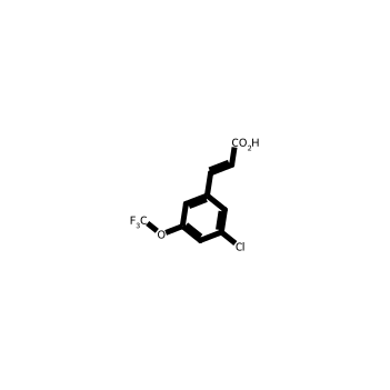 O=C(O)C=Cc1cc(Cl)cc(OC(F)(F)F)c1